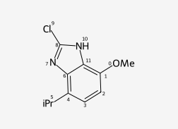 COc1ccc(C(C)C)c2nc(Cl)[nH]c12